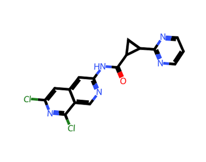 O=C(Nc1cc2cc(Cl)nc(Cl)c2cn1)C1CC1c1ncccn1